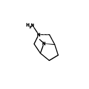 CN1C2CCC1CN(N)C2